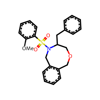 COc1ccccc1S(=O)(=O)N1Cc2ccccc2COCC1Cc1ccccc1